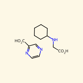 O=C(O)CNC1CCCCC1.O=C(O)c1cnccn1